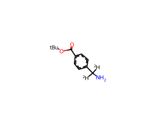 [2H]C([2H])(N)c1ccc(C(=O)OC(C)(C)C)cc1